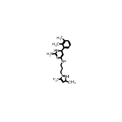 CC1=CC(C)NN1CCCNC1=CC(c2cccc(C)c2C)NC(N)=N1